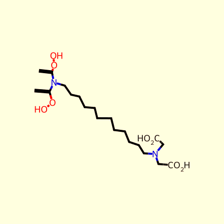 C=C(OO)N(CCCCCCCCCCCCN(CC(=O)O)CC(=O)O)C(=C)OO